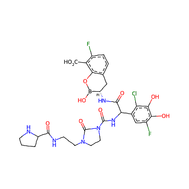 O=C(O)c1c(F)ccc2c1OB(O)[C@@H](NC(=O)C(NC(=O)N1CCN(CCNC(=O)C3CCCN3)C1=O)c1cc(F)c(O)c(O)c1Cl)C2